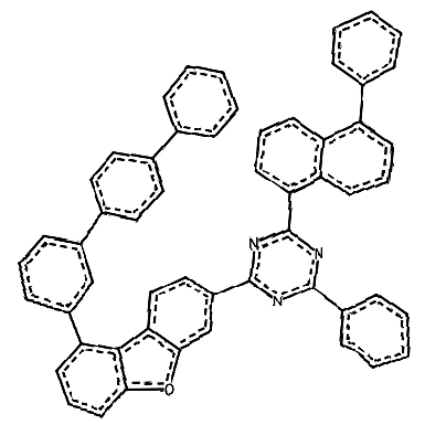 c1ccc(-c2ccc(-c3cccc(-c4cccc5oc6cc(-c7nc(-c8ccccc8)nc(-c8cccc9c(-c%10ccccc%10)cccc89)n7)ccc6c45)c3)cc2)cc1